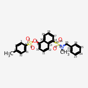 Cc1ccc(S(=O)(=O)Oc2cccc3c(S(=O)(=O)N(C)Cc4ccccc4)cccc23)cc1